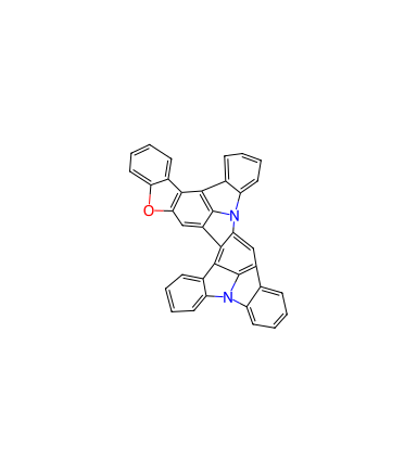 c1ccc2c(c1)oc1cc3c4c5c6ccccc6n6c7ccccc7c(cc4n4c7ccccc7c(c12)c34)c56